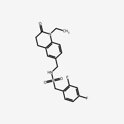 CCN1C(=O)CCc2cc(CNS(=O)(=O)Cc3ccc(F)cc3F)ccc21